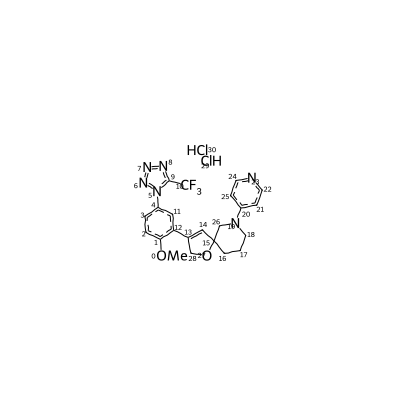 COc1ccc(-n2nnnc2C(F)(F)F)cc1C1=CC2(CCCN(c3ccncc3)C2)OC1.Cl.Cl